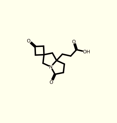 O=C(O)CCC12CCC(=O)N1CC1(CC(=O)C1)C2